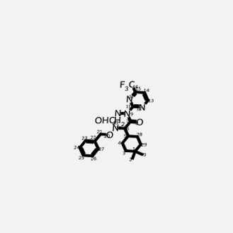 CC1(C)CCC(C(C(=O)N(N)c2nccc(C(F)(F)F)n2)N(C=O)OCc2ccccc2)CC1